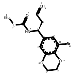 C=CC[C@H](NC(=O)OC(C)(C)C)c1cc(Br)c2c(c1)OCCO2